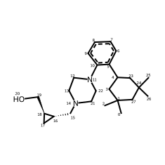 CC1(C)CC(c2ccccc2N2CCN(C[C@@H]3C[C@H]3CO)CC2)CC(C)(C)C1